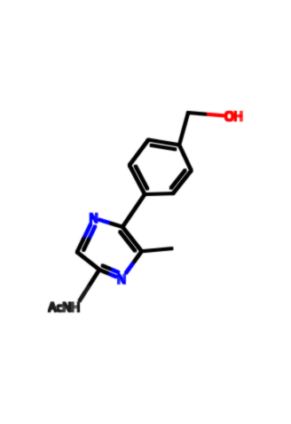 CC(=O)Nc1cnc(-c2ccc(CO)cc2)c(C)n1